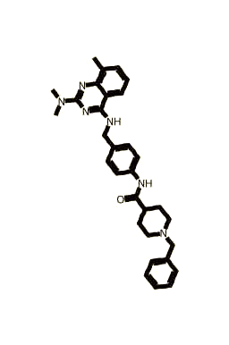 Cc1cccc2c(NCc3ccc(NC(=O)C4CCN(Cc5ccccc5)CC4)cc3)nc(N(C)C)nc12